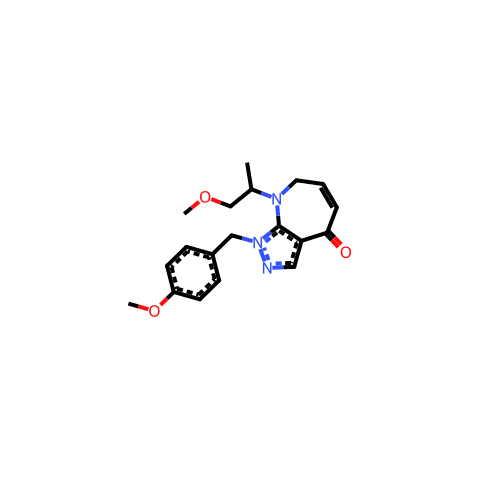 COCC(C)N1CC=CC(=O)c2cnn(Cc3ccc(OC)cc3)c21